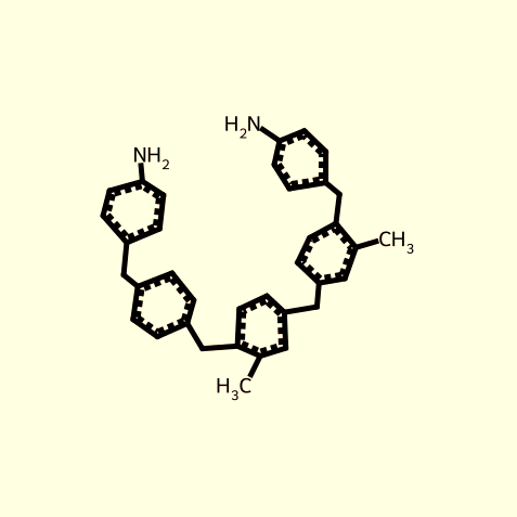 Cc1cc(Cc2ccc(Cc3ccc(Cc4ccc(N)cc4)cc3)c(C)c2)ccc1Cc1ccc(N)cc1